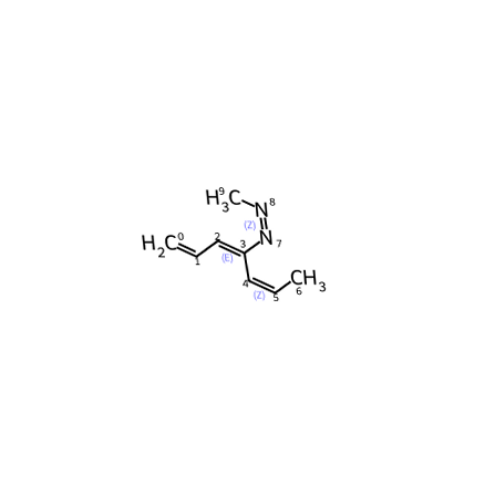 C=C/C=C(\C=C/C)/N=N\C